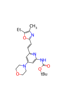 CCc1oc(C=Cc2cc(N3CCOCC3)cc(NC(=O)OC(C)(C)C)n2)nc1C